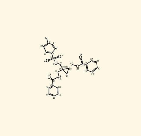 Cc1ccc(S(=O)(=O)OC[C@]2(COC(=O)c3ccccc3)C[C@H]2COC(=O)c2ccccc2)cc1